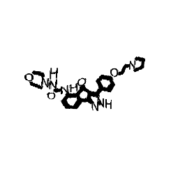 O=C(Nc1cccc2c1C(=O)c1c-2n[nH]c1-c1ccc(OCCN2CCCC2)cc1)NN1CCOCC1